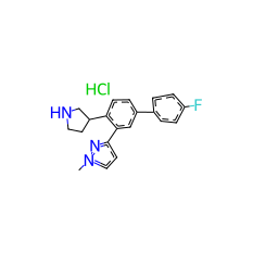 Cl.Cn1ccc(-c2cc(-c3ccc(F)cc3)ccc2C2CCNC2)n1